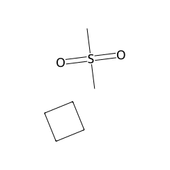 C1CCC1.CS(C)(=O)=O